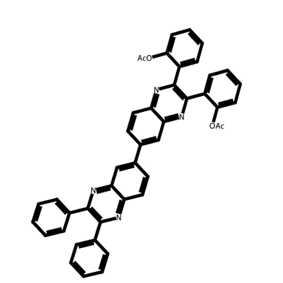 CC(=O)Oc1ccccc1-c1nc2ccc(-c3ccc4nc(-c5ccccc5)c(-c5ccccc5)nc4c3)cc2nc1-c1ccccc1OC(C)=O